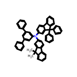 CC1(C)c2ccccc2-c2ccc(N(c3cc(-c4ccccc4)cc(-c4ccccc4)c3)c3ccc4c(c3)C(c3ccccc3)(c3ccccc3)c3ccccc3-4)cc21